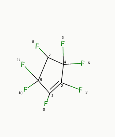 FC1=C(F)C(F)(F)C(F)C1(F)F